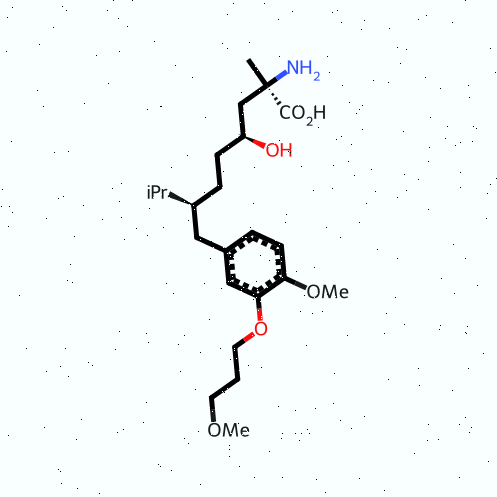 COCCCOc1cc(C[C@H](CC[C@H](O)C[C@@](C)(N)C(=O)O)C(C)C)ccc1OC